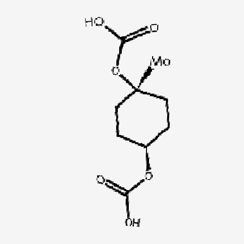 O=C(O)O[C@H]1CC[C@]([Mo])(OC(=O)O)CC1